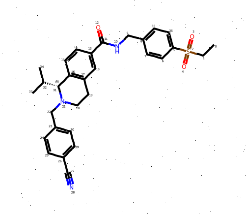 CCS(=O)(=O)c1ccc(CNC(=O)c2ccc3c(c2)CCN(Cc2ccc(C#N)cc2)[C@@H]3C(C)C)cc1